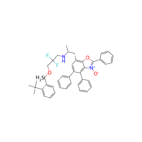 CC(Cc1cc(-c2ccccc2)c(-c2ccccc2)c2c1oc(-c1ccccc1)[n+]2[O-])NCC(F)(F)CO[SiH2]c1ccccc1C(C)(C)C